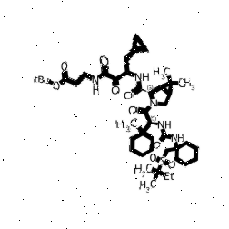 CCC(C)(C)S(=O)(=O)CC1(NC(=O)N[C@H](C(=O)N2CC3C([C@H]2C(=O)NC(CC2CC2)C(=O)C(=O)NCCC(=O)OC(C)(C)C)C3(C)C)C2(C)CCCCC2)CCCCC1